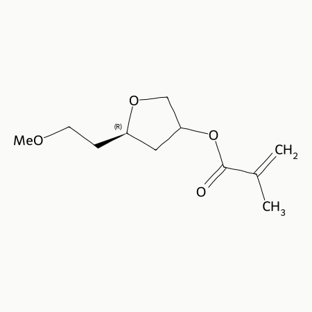 C=C(C)C(=O)OC1CO[C@H](CCOC)C1